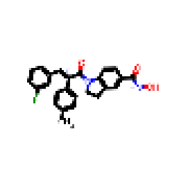 Cc1ccc(/C(=C\c2cccc(F)c2)C(=O)N2CCc3cc(C(=O)NO)ccc32)cc1